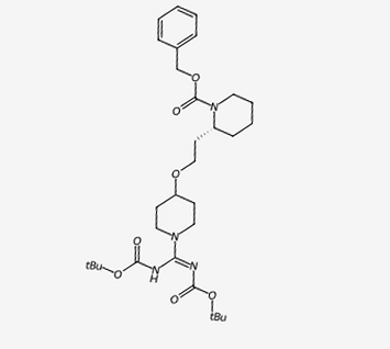 CC(C)(C)OC(=O)N=C(NC(=O)OC(C)(C)C)N1CCC(OCC[C@H]2CCCCN2C(=O)OCc2ccccc2)CC1